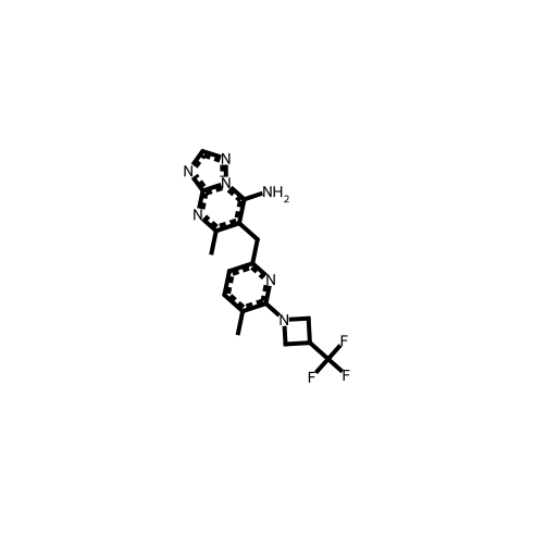 Cc1ccc(Cc2c(C)nc3ncnn3c2N)nc1N1CC(C(F)(F)F)C1